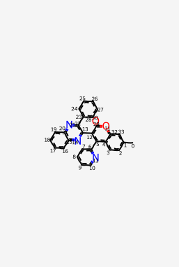 Cc1ccc2c(-c3ccccn3)c(-c3nc4ccccc4nc3-c3ccccc3)c(=O)oc2c1